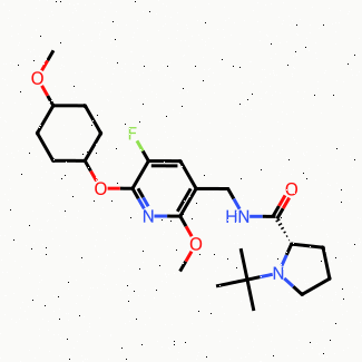 COc1nc(OC2CCC(OC)CC2)c(F)cc1CNC(=O)[C@@H]1CCCN1C(C)(C)C